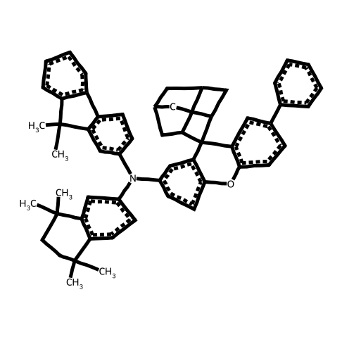 CC1(C)CCC(C)(C)c2cc(N(c3ccc4c(c3)C(C)(C)c3ccccc3-4)c3ccc4c(c3)C3(c5cc(-c6ccccc6)ccc5O4)C4CC5CC6CC3C64C5)ccc21